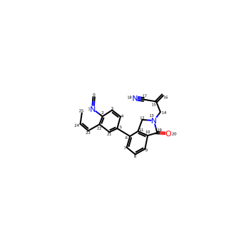 C=Nc1ccc(-c2cccc3c2CN(CC(=C)C#N)C3=O)cc1/C=C\C